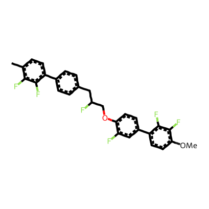 COc1ccc(-c2ccc(OCC(F)Cc3ccc(-c4ccc(C)c(F)c4F)cc3)c(F)c2)c(F)c1F